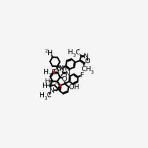 [2H]C1CCC(OC)(n2c([C@]34OC5(c6ccc(F)cc6)C6=C(C=CC5O)C[C@@H]5[C@H](C=C[C@@H]3O)[C@@]64CCN5C)nc3cc(-c4c(C)noc4C)ccc32)CC1